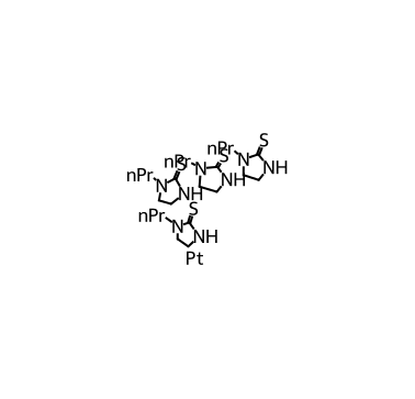 CCCN1CCNC1=S.CCCN1CCNC1=S.CCCN1CCNC1=S.CCCN1CCNC1=S.[Pt]